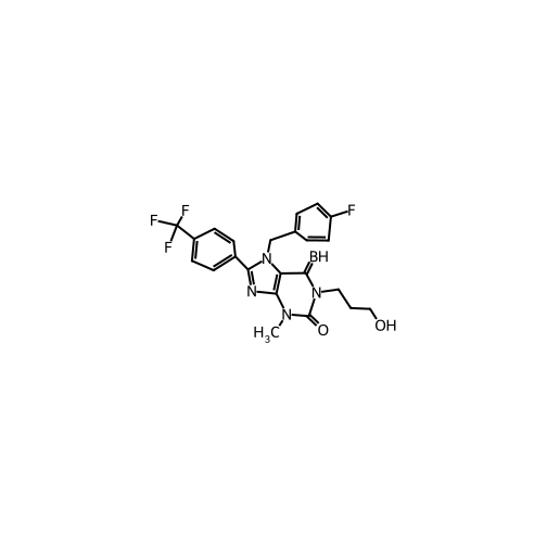 B=C1c2c(nc(-c3ccc(C(F)(F)F)cc3)n2Cc2ccc(F)cc2)N(C)C(=O)N1CCCO